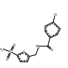 NS(=O)(=O)c1ccc(CNC(=O)c2ccc(Cl)cc2)s1